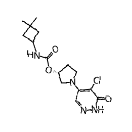 CC1(C)CC(NC(=O)O[C@@H]2CCN(c3cn[nH]c(=O)c3Cl)C2)C1